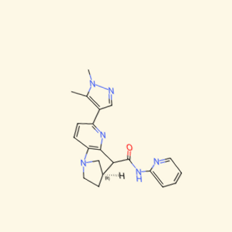 Cc1c(-c2ccc3c(n2)C(C(=O)Nc2ccccn2)[C@H]2CCN3C2)cnn1C